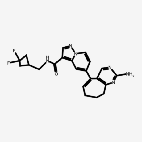 Nc1ncc2c(n1)CCCC=C2c1ccn2ncc(C(=O)NCC3CC(F)(F)C3)c2c1